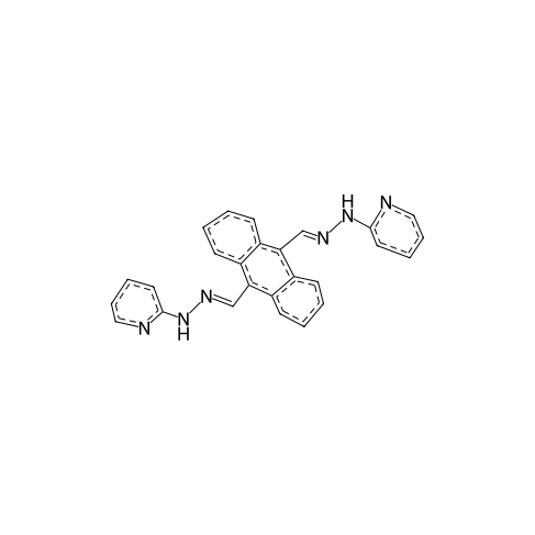 C(=N\Nc1ccccn1)/c1c2ccccc2c(/C=N/Nc2ccccn2)c2ccccc12